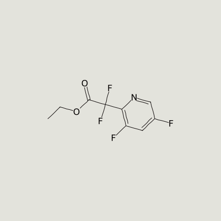 CCOC(=O)C(F)(F)c1ncc(F)cc1F